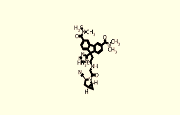 C[C@H](CC1(c2nn[nH]n2)c2ccc(C(=O)N(C)C)cc2-c2cc(C(=O)N(C)C)ccc21)NCC(=O)N1[C@H](C#N)C[C@@H]2C[C@@H]21